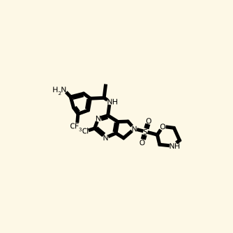 CC(Nc1nc(Cl)nc2c1CN(S(=O)(=O)C1CNCCO1)C2)c1cc(N)cc(C(F)(F)F)c1